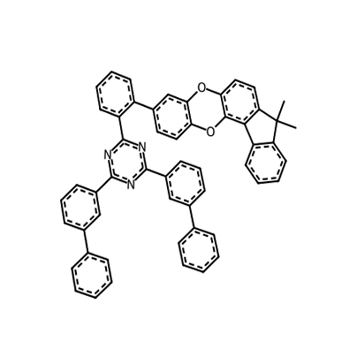 CC1(C)c2ccccc2-c2c1ccc1c2Oc2ccc(-c3ccccc3-c3nc(-c4cccc(-c5ccccc5)c4)nc(-c4cccc(-c5ccccc5)c4)n3)cc2O1